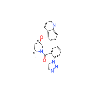 C[C@@H]1CC[C@@H](Oc2cccc3ncccc23)CN1C(=O)c1ccccc1-n1ccnn1